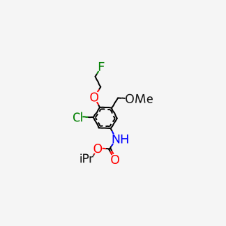 COCc1cc(NC(=O)OC(C)C)cc(Cl)c1OCCF